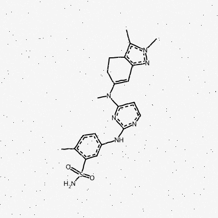 Cc1ccc(Nc2nccc(N(C)C3=Cc4nn(C)c(C)c4CC3)n2)cc1S(N)(=O)=O